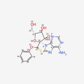 Nc1ncnc2c1ncn2[C@]1(C(=S)Oc2ccccc2)O[C@H](CO)[C@@H](O)[C@H]1O